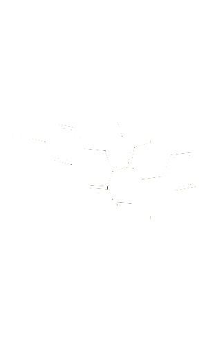 Cc1c(-c2ccc(C(F)(F)F)cc2)c(C(=O)N(C)CC(C)(C)C)n(Cc2ccccc2)c1C(F)(F)F